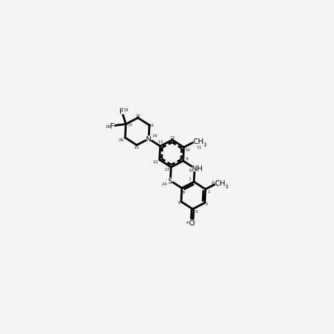 CC1=CC(=O)CC2=C1Nc1c(C)cc(N3CCC(F)(F)CC3)cc1S2